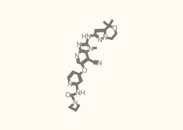 Cn1c(Nc2cc3n(n2)CCOC3(C)C)nc2ncc(Oc3ccnc(NC(=O)N4CCC4)c3)c(C#N)c21